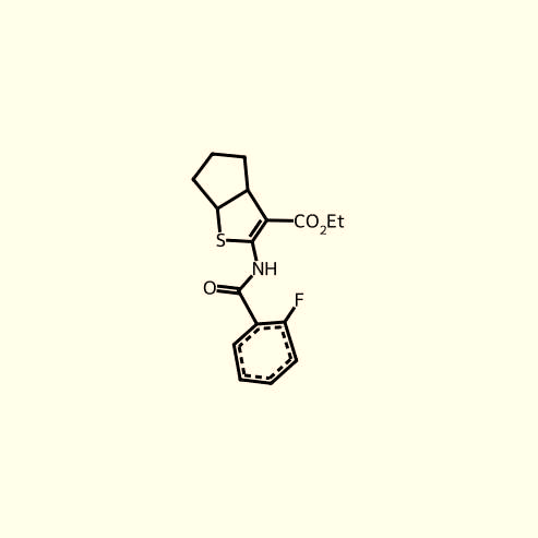 CCOC(=O)C1=C(NC(=O)c2ccccc2F)SC2CCCC12